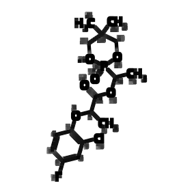 CC(Oc1ccc(F)cc1Cl)C(=O)OC(C)P1(=O)OCC(C)(C)CO1